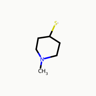 CN1CCC([S])CC1